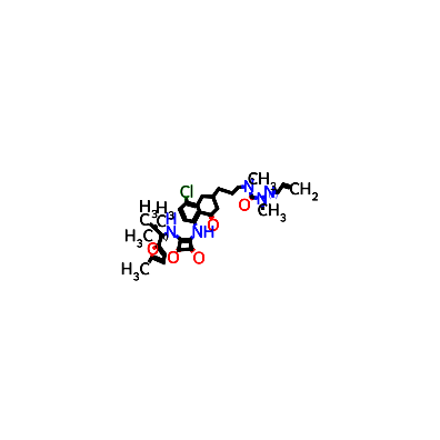 C=C/C=N/N(C)C(=O)N(C)CCCC1CC(=O)c2c(Nc3c(N[C@@H](c4ccc(C)o4)C(C)(C)C)c(=O)c3=O)ccc(Cl)c2C1